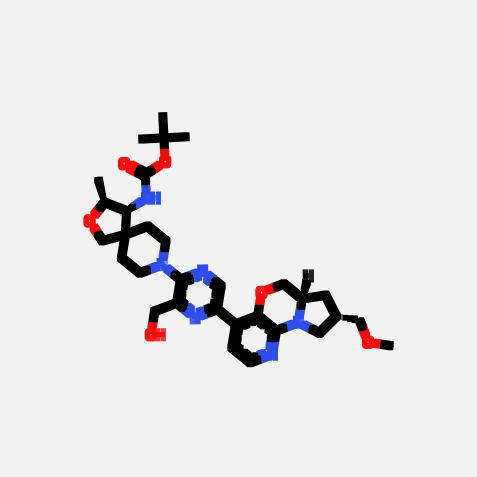 COC[C@H]1C[C@H]2COc3c(-c4cnc(N5CCC6(CC5)CO[C@@H](C)[C@H]6NC(=O)OC(C)(C)C)c(CO)n4)ccnc3N2C1